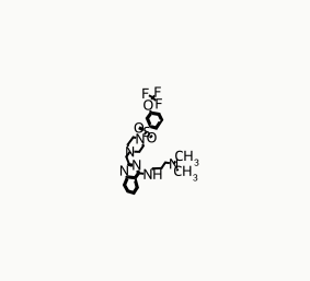 CN(C)CCCNc1nc(CN2CCN(S(=O)(=O)c3cccc(OC(F)(F)F)c3)CC2)nc2ccccc12